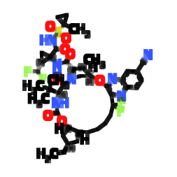 C=C[C@@H]1C[C@H]2CCCCC(F)(F)c3nc4ccc(C#N)cc4nc3O[C@H]3CN(C(=O)[C@H](C(C)(C)C)NC(=O)O[C@@H]2C1)[C@H](C(=O)N[C@]1(C(=O)NS(=O)(=O)C2(C)CC2)C[C@H]1C(F)F)[C@@H]3C